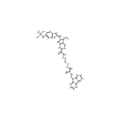 Cn1c(Nc2nc3ccc(OC(F)(F)F)cc3s2)nc2cc(C(=O)NCCOCCNC(=O)OCC3c4ccccc4-c4ccccc43)ccc21